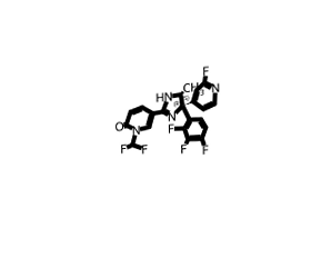 C[C@@H]1NC(c2ccc(=O)n(C(F)F)c2)=N[C@]1(c1ccnc(F)c1)c1ccc(F)c(F)c1F